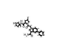 CC1(NC(=O)C2CC(F)CN2C(=O)Cn2nc(C(N)=O)c3cc(-c4ccnnc4)ccc32)CCNC1